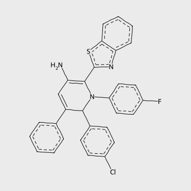 NC1=C(c2nc3ccccc3s2)N(c2ccc(F)cc2)C(c2ccc(Cl)cc2)C(c2ccccc2)=C1